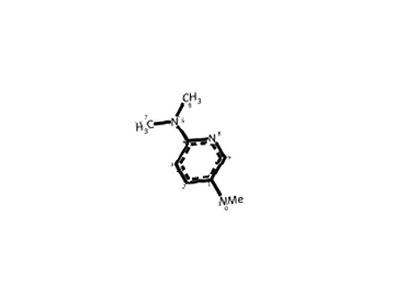 CNc1ccc(N(C)C)nc1